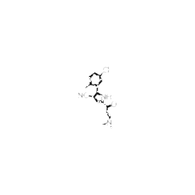 Cc1ccc(Cl)cc1-c1[nH]c(C(=O)C=CN(C)C)cc1C#N